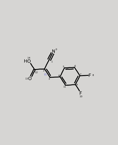 N#C/C(=C\c1ccc(F)c(F)c1)C(=O)O